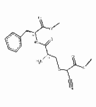 COC(=O)C(C#N)SC[C@H](N)C(=O)N[C@@H](Cc1ccccc1)C(=O)OC